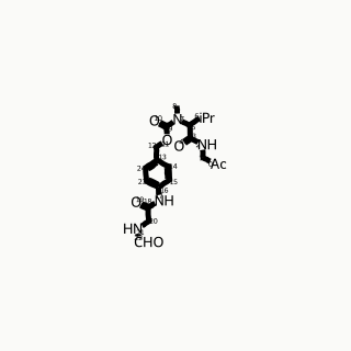 CC(=O)CNC(=O)C(C(C)C)N(C)C(=O)OCc1ccc(NC(=O)CNC=O)cc1